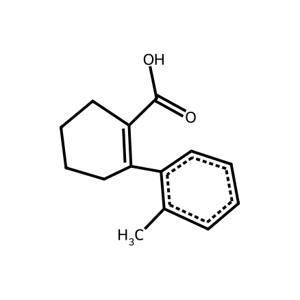 Cc1ccccc1C1=C(C(=O)O)CCCC1